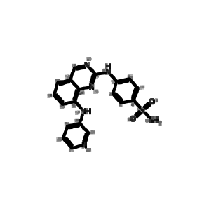 NS(=O)(=O)c1ccc(Nc2ncc3cccc(Nc4cccnc4)c3n2)cc1